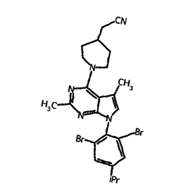 Cc1nc(N2CCC(CC#N)CC2)c2c(C)cn(-c3c(Br)cc(C(C)C)cc3Br)c2n1